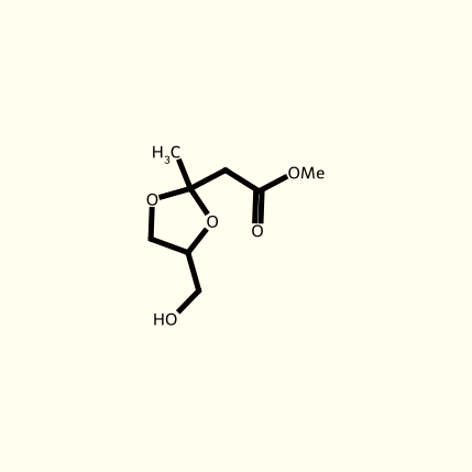 COC(=O)CC1(C)OCC(CO)O1